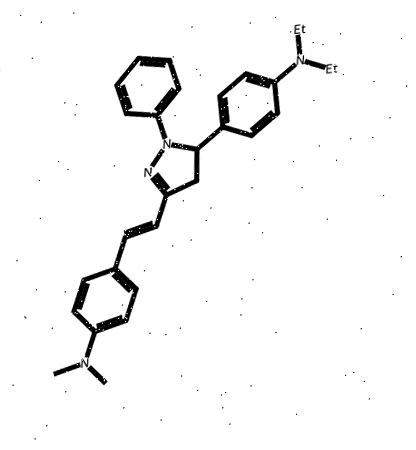 CCN(CC)c1ccc(C2CC(C=Cc3ccc(N(C)C)cc3)=NN2c2ccccc2)cc1